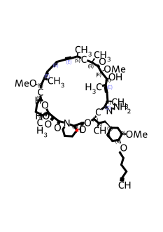 C#CCCCCO[C@@H]1CC[C@@H](C[C@@H](C)[C@@H]2C/C(=N/N)[C@H](C)/C=C(\C)[C@@H](O)[C@@H](OC)C(=O)[C@H](C)C[C@H](C)/C=C/C=C/C=C(\C)[C@@H](OC)C[C@@H]3CC[C@@H](C)[C@@](O)(O3)C(=O)C(=O)N3CCCC[C@H]3C(=O)O2)C[C@H]1OC